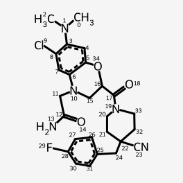 CN(C)c1cc2c(cc1Cl)N(CC(N)=O)CC(C(=O)N1CCC(C#N)(Cc3ccc(F)cc3)CC1)O2